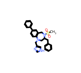 CS(=O)(=O)N1Cc2cc(-c3ccccc3)ccc2N(Cc2c[nH]cn2)CC1Cc1ccccc1